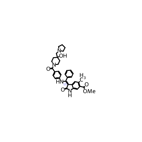 COC(=O)c1cc2c(cc1C)/C(=C(/Nc1ccc(C(=O)N3CCC(O)(CN4CCCC4)CC3)cc1)c1ccccc1)C(=O)N2